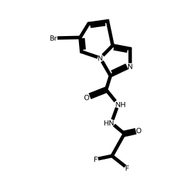 O=C(NNC(=O)C(F)F)c1ncc2ccc(Br)cn12